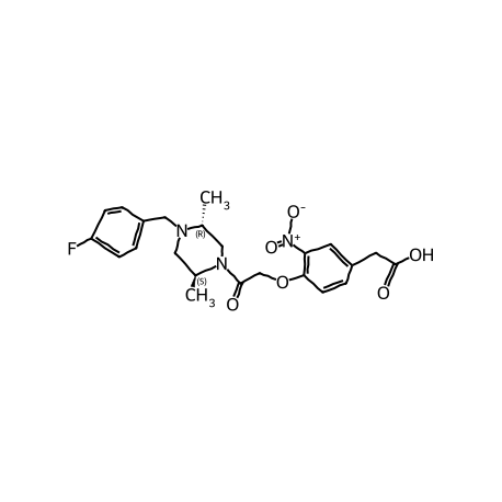 C[C@@H]1CN(C(=O)COc2ccc(CC(=O)O)cc2[N+](=O)[O-])[C@@H](C)CN1Cc1ccc(F)cc1